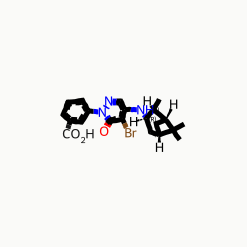 C[C@@H]1[C@H]2C[C@@H](C[C@H]1Nc1cnn(-c3cccc(C(=O)O)c3)c(=O)c1Br)C2(C)C